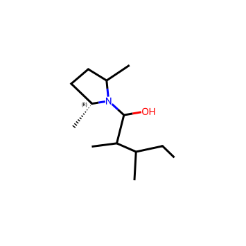 CCC(C)C(C)C(O)N1C(C)CC[C@H]1C